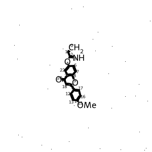 C=CC(=N)Oc1ccc2oc(-c3ccc(OC)cc3)cc(=O)c2c1